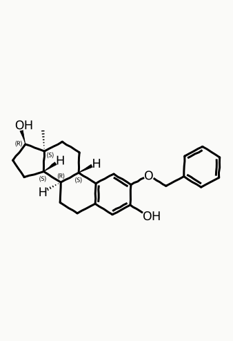 C[C@]12CC[C@@H]3c4cc(OCc5ccccc5)c(O)cc4CC[C@H]3[C@@H]1CC[C@H]2O